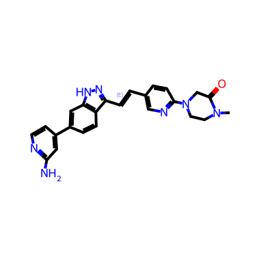 CN1CCN(c2ccc(/C=C/c3n[nH]c4cc(-c5ccnc(N)c5)ccc34)cn2)CC1=O